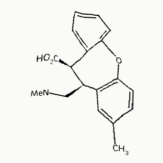 CNC[C@@H]1c2cc(C)ccc2Oc2ccccc2[C@@H]1C(=O)O